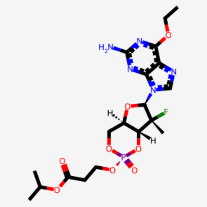 CCOc1nc(N)nc2c1ncn2[C@@H]1O[C@@H]2CO[P@@](=O)(OCCC(=O)OC(C)C)O[C@H]2[C@@]1(C)F